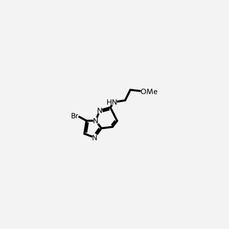 COCCNc1ccc2ncc(Br)n2n1